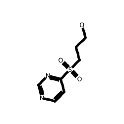 [O]CCCS(=O)(=O)c1ccncn1